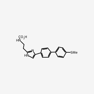 CSc1ccc(-c2ccc(-c3c[nH]c(CCNC(=O)O)n3)cc2)cc1